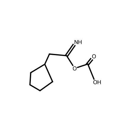 N=C(CC1CCCC1)OC(=O)O